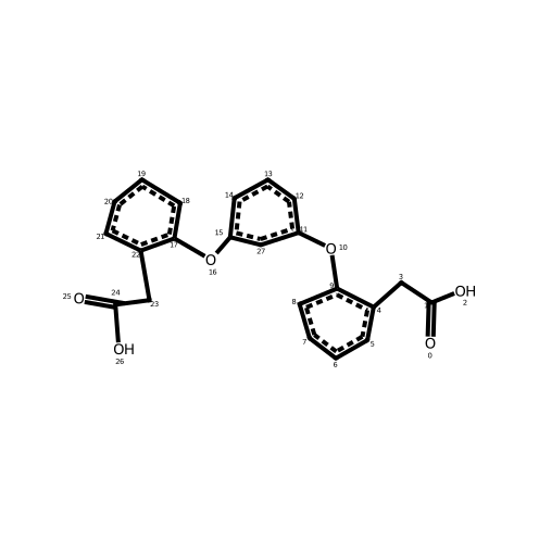 O=C(O)Cc1ccccc1Oc1cccc(Oc2ccccc2CC(=O)O)c1